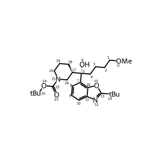 COCCCC[C@@](O)(c1cccc2nc(C(C)(C)C)oc12)[C@@H]1CCCN(C(=O)OC(C)(C)C)C1